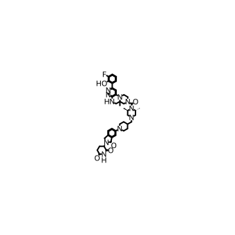 C[C@@H]1CN(CC2CCN(c3ccc4c(c3)C(=O)N(C3CCC(=O)NC3=O)C4)CC2)C[C@@H](C)N1C(=O)N1CCN2c3cc(-c4cccc(F)c4O)nnc3NCC2(C)C1